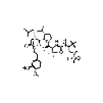 COc1ccc(CCNC(=O)[C@H](CC(F)F)NC(=O)[C@@H]2[C@@H](C(C)C)CCN2C(=O)[C@@H](NC(=O)N[C@H](CN(C)S(C)(=O)=O)C(C)(C)C)C(C)(C)C)cc1O